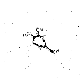 C#Cc1cnc(C)c(C#N)n1